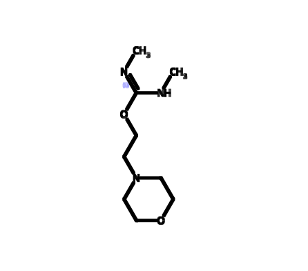 C/N=C(\NC)OCCN1CCOCC1